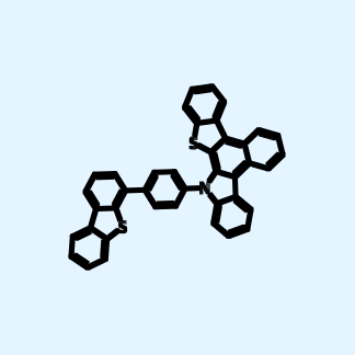 c1ccc2c(c1)sc1c(-c3ccc(-n4c5ccccc5c5c6ccccc6c6c7ccccc7sc6c54)cc3)cccc12